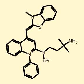 CCCN(CCC(C)(C)N)c1cc(C=C2Sc3ccccc3N2C)c2ccccc2[n+]1-c1ccccc1